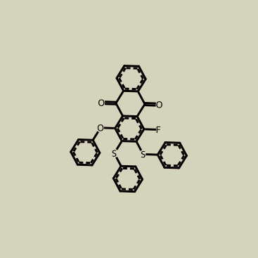 O=C1c2ccccc2C(=O)c2c(Oc3ccccc3)c(Sc3ccccc3)c(Sc3ccccc3)c(F)c21